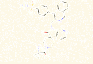 NC1(C(=O)N2CCC3(CC2)C(=O)N(Cc2ncc4ccccc4c2-c2ccc(S(N)(=O)=O)cc2)c2cnccc23)CC1